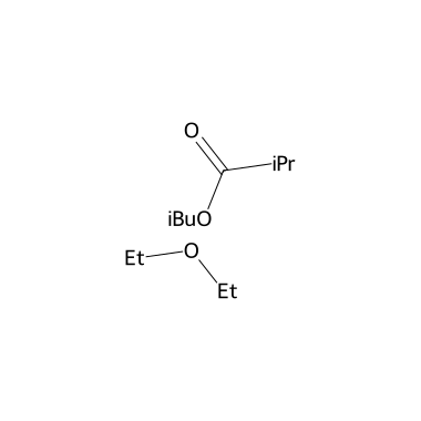 CC(C)COC(=O)C(C)C.CCOCC